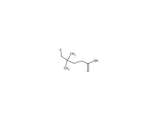 CC(C)(CF)CCC(=O)O